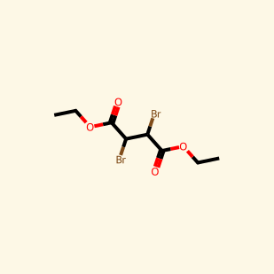 CCOC(=O)C(Br)C(Br)C(=O)OCC